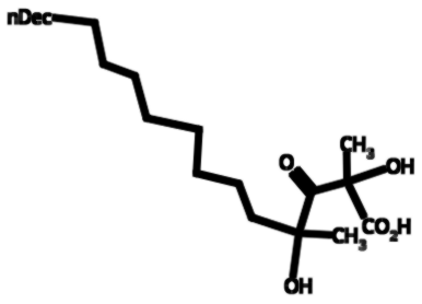 CCCCCCCCCCCCCCCCCCC(C)(O)C(=O)C(C)(O)C(=O)O